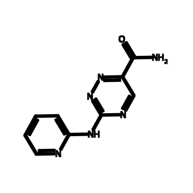 NC(=O)c1cnc(Nc2ccccn2)nn1